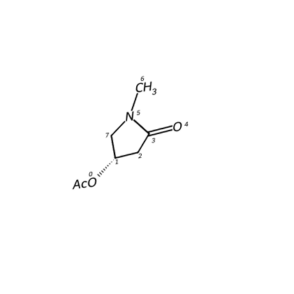 CC(=O)O[C@H]1CC(=O)N(C)C1